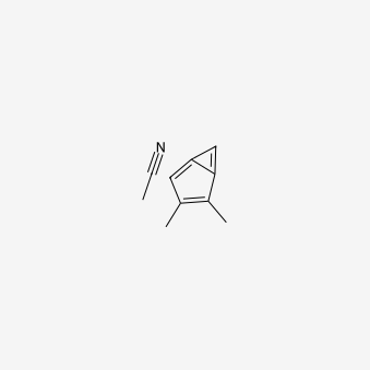 CC#N.Cc1cc2cc-2c1C